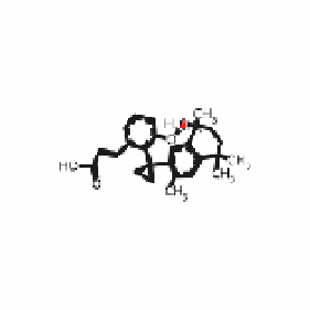 COc1cccc(C=CC(=O)O)c1C1(c2cc3c(cc2C)C(C)(C)CCC3(C)C)CC1